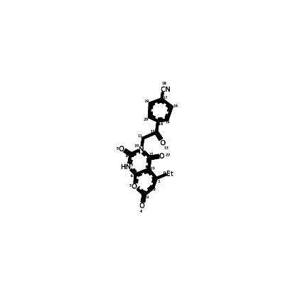 CCc1cc(=O)oc2[nH]c(=O)n(CC(=O)c3ccc(C#N)cc3)c(=O)c12